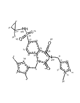 Cc1nc(C)c(Cn2c(=O)n(Cc3cnn(C)c3)c(=O)c3cc(S(=O)(=O)NC4(C)CC4)ccc32)s1